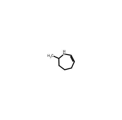 CC1CCCC=CN1